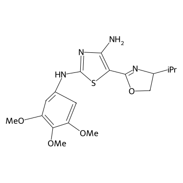 COc1cc(Nc2nc(N)c(C3=NC(C(C)C)CO3)s2)cc(OC)c1OC